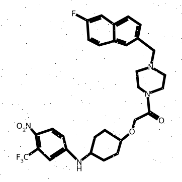 O=C(COC1CCC(Nc2ccc([N+](=O)[O-])c(C(F)(F)F)c2)CC1)N1CCN(Cc2ccc3cc(F)ccc3c2)CC1